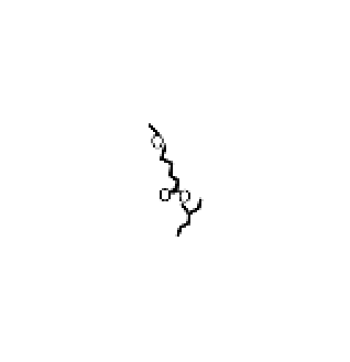 CCCC(CC)COC(=O)CCCCCOCC